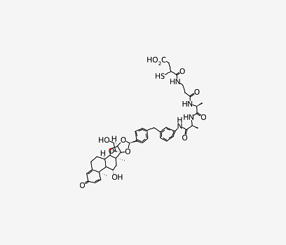 C[C@H](NC(=O)CCNC(=O)C(S)CC(=O)O)C(=O)N[C@@H](C)C(=O)Nc1cccc(Cc2ccc([C@@H]3O[C@@H]4CC5[C@@H]6CCC7=CC(=O)C=C[C@]7(C)C6[C@@H](O)C[C@]5(C)[C@]4(C(=O)CO)O3)cc2)c1